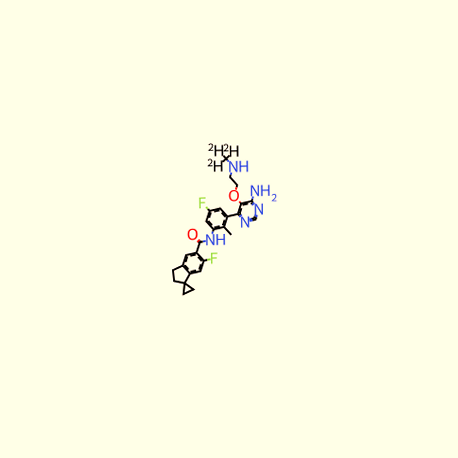 [2H]C([2H])([2H])NCCOc1c(N)ncnc1-c1cc(F)cc(NC(=O)c2cc3c(cc2F)C2(CC3)CC2)c1C